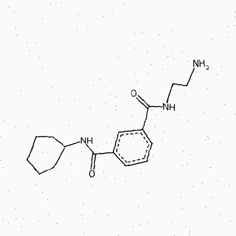 NCCNC(=O)c1cccc(C(=O)NC2CCCCC2)c1